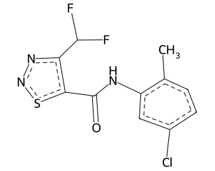 Cc1ccc(Cl)cc1NC(=O)c1snnc1C(F)F